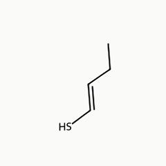 CCC=CS